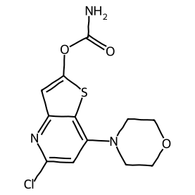 NC(=O)Oc1cc2nc(Cl)cc(N3CCOCC3)c2s1